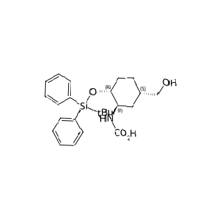 CC(C)(C)[Si](O[C@@H]1CC[C@H](CO)C[C@H]1NC(=O)O)(c1ccccc1)c1ccccc1